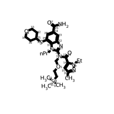 CCCn1c(N(COCC[Si](C)(C)C)C(=O)c2cc(C)nn2CC)nc2cc(C(N)=O)cc(SC3CCOCC3)c21